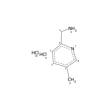 Cc1ccc(CN)nc1.Cl.Cl